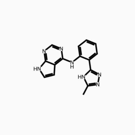 Cc1nnc(-c2ccccc2Nc2ncnc3[nH]ccc23)[nH]1